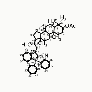 CC(=O)O[C@H]1CC[C@]2(C)C3CC[C@]4(C)C([C@H](C)CC(=O)C(C#N)=P(c5ccccc5)(c5ccccc5)c5ccccc5)CC[C@@]4(C)C3CCC2C1(C)C